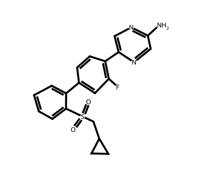 Nc1cnc(-c2ccc(-c3ccccc3S(=O)(=O)CC3CC3)cc2F)cn1